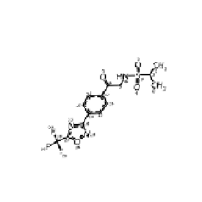 CC(C)S(=O)(=O)NCC(=O)c1ccc(-c2noc(C(F)(F)F)n2)cc1